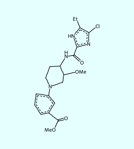 CCc1[nH]c(C(=O)NC2CCN(c3cccc(C(=O)OC)c3)CC2OC)nc1Cl